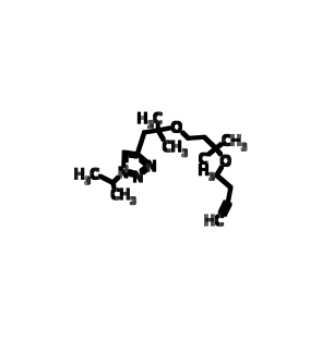 C#CCCOC(C)(C)CCOC(C)(C)Cc1cn(C(C)C)nn1